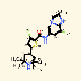 Cc1cn2cc(NC(=O)c3sc(C4CC(C)(C)NC(C)(C)C4)cc3F)cc(F)c2n1